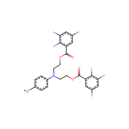 Cc1ccc(N(CCOC(=O)c2cc(I)cc(I)c2I)CCOC(=O)c2cc(I)cc(I)c2I)cc1